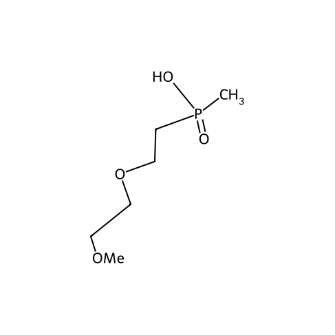 COCCOCCP(C)(=O)O